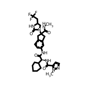 CNC(=O)C1(N2CC(CC(F)(F)F)NC2=O)Cc2ccc(NC(=O)[C@@H](NC(=O)c3ccnn3C)C3CCCCC3)cc2C1